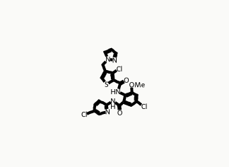 COc1cc(Cl)cc(C(=O)Nc2ccc(Cl)cn2)c1NC(=O)c1scc(Cn2cccn2)c1Cl